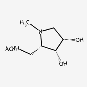 CC(=O)NC[C@H]1[C@@H](O)[C@@H](O)CN1C